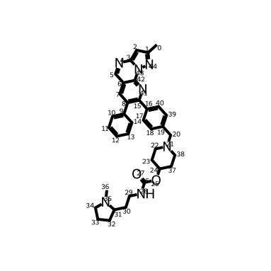 Cc1cc2ncc3cc(-c4ccccc4)c(-c4ccc(CN5CCC(OC(=O)NCCC6CCCN6C)CC5)cc4)nc3n2n1